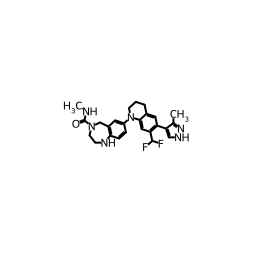 CNC(=O)N1CCNc2ccc(N3CCCc4cc(-c5c[nH]nc5C)c(C(F)F)cc43)cc2C1